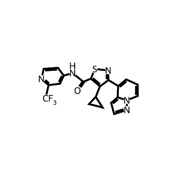 O=C(Nc1ccnc(C(F)(F)F)c1)c1snc(-c2cccn3nccc23)c1C1CC1